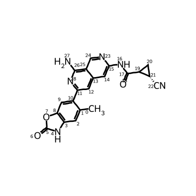 Cc1cc2[nH]c(=O)oc2cc1-c1cc2cc(NC(=O)C3C[C@@H]3C#N)ncc2c(N)n1